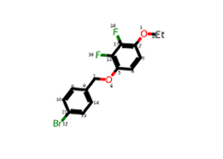 CCOc1ccc(OCc2ccc(Br)cc2)c(F)c1F